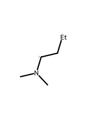 CCC[CH]N(C)C